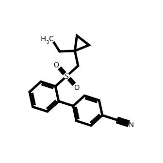 CCC1(CS(=O)(=O)c2ccccc2-c2ccc(C#N)cc2)CC1